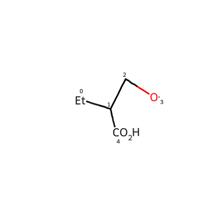 CCC(C[O])C(=O)O